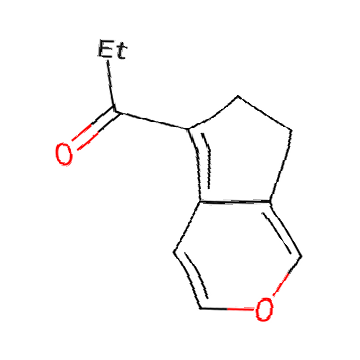 CCC(=O)C1=C2C=COC=C2CC1